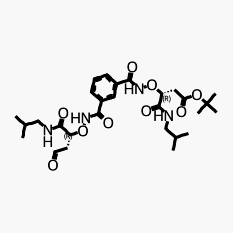 CC(C)CNC(=O)[C@@H](CC=O)ONC(=O)c1cccc(C(=O)NO[C@H](CC(=O)OC(C)(C)C)C(=O)NCC(C)C)c1